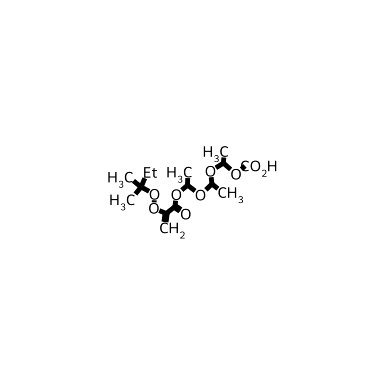 C=C(OOC(C)(C)CC)C(=O)OC(C)OC(C)OC(C)OC(=O)O